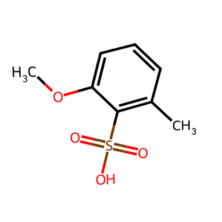 COc1cccc(C)c1S(=O)(=O)O